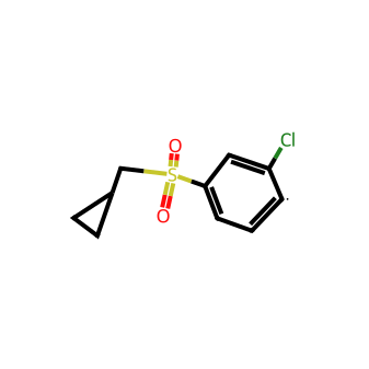 O=S(=O)(CC1CC1)c1cc[c]c(Cl)c1